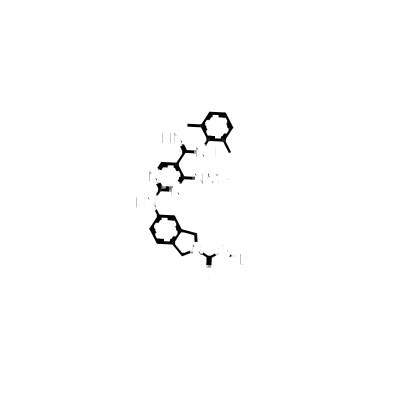 CNc1nc(Nc2ccc3c(c2)CN(C(=O)OC(C)(C)C)C3)ncc1C(=N)Nc1c(C)cccc1C